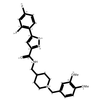 COc1ccc(CN2CCC(CNC(=O)c3cc(-c4ccc(F)cc4F)on3)CC2)cc1OC